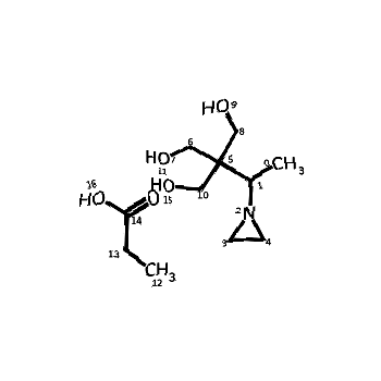 CC(N1CC1)C(CO)(CO)CO.CCC(=O)O